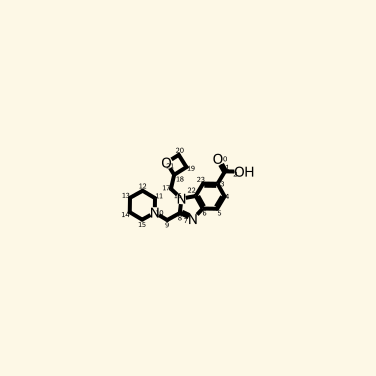 O=C(O)c1ccc2nc(CN3CCCCC3)n(CC3CCO3)c2c1